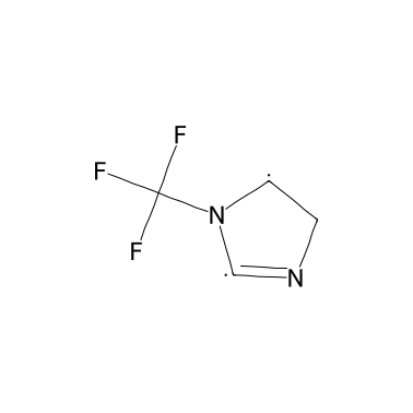 FC(F)(F)N1[C]=NC[CH]1